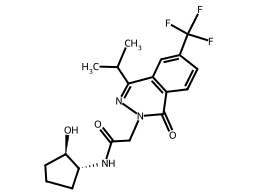 CC(C)c1nn(CC(=O)N[C@@H]2CCC[C@H]2O)c(=O)c2ccc(C(F)(F)F)cc12